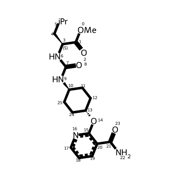 COC(=O)[C@H](CC(C)C)NC(=O)N[C@H]1CC[C@H](Oc2ncccc2C(N)=O)CC1